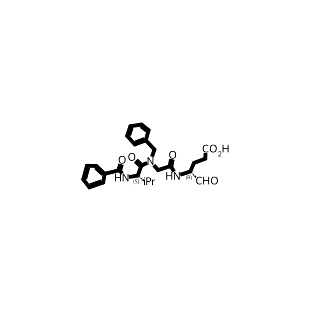 CC(C)[C@H](NC(=O)c1ccccc1)C(=O)N(CC(=O)N[C@@H](C=O)CCC(=O)O)Cc1ccccc1